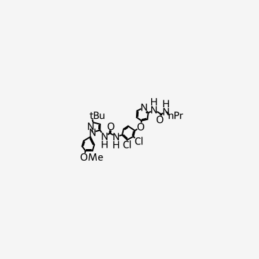 CCCNC(=O)Nc1cc(Oc2ccc(NC(=O)Nc3cc(C(C)(C)C)nn3-c3ccc(OC)cc3)c(Cl)c2Cl)ccn1